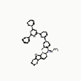 Cc1cc(-c2cccc(-c3cc(-c4ccccc4)nc(-c4ccccc4)n3)c2)ccc1/C(=N\N)c1ccc2c(n1)oc1ccccc12